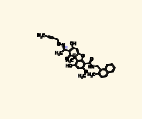 CC#CCO/N=C(\C)C1=C(O)C=C2Oc3c(C(=O)NCc4c(C)ccc5ccccc45)c(OC)cc(O)c3[C@]2(C)C1=O